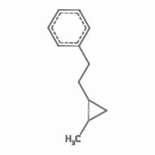 CC1CC1CCc1ccccc1